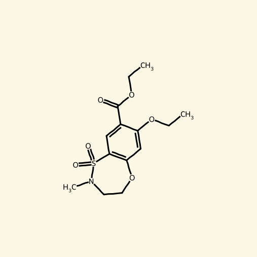 CCOC(=O)c1cc2c(cc1OCC)OCCN(C)S2(=O)=O